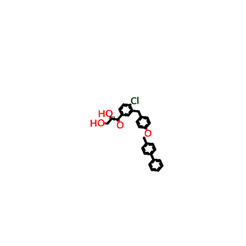 O=C(c1ccc(Cl)c(Cc2ccc(OCc3ccc(-c4ccccc4)cc3)cc2)c1)[C@H](O)CO